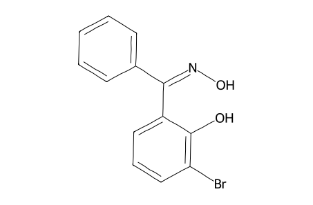 ON=C(c1ccccc1)c1cccc(Br)c1O